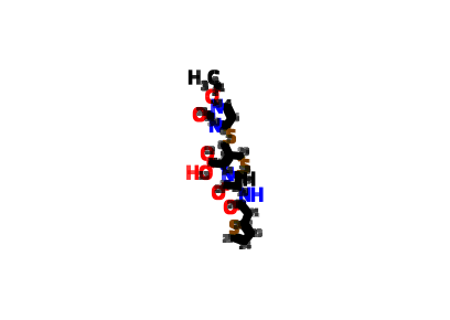 CCOn1ccc(SCC2=C(C(=O)O)N3C(=O)[C@@H](NC(=O)Cc4cccs4)[C@H]3SC2)nc1=O